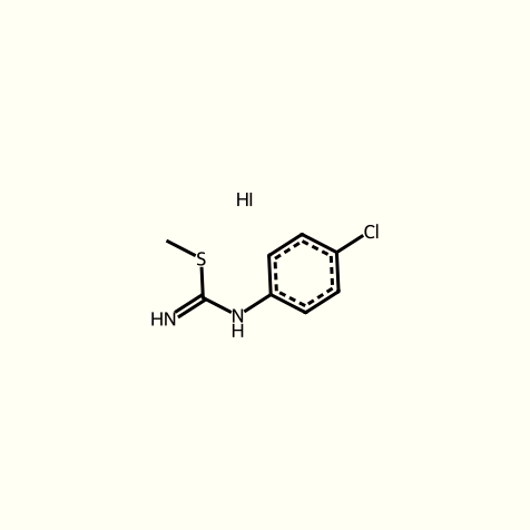 CSC(=N)Nc1ccc(Cl)cc1.I